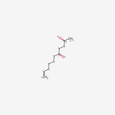 C=CCCCCC(=O)CCC(C)=O